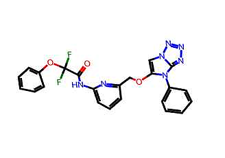 O=C(Nc1cccc(COc2cn3nnnc3n2-c2ccccc2)n1)C(F)(F)Oc1ccccc1